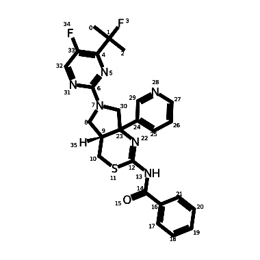 CC(C)(F)c1nc(N2C[C@H]3CSC(NC(=O)c4ccccc4)=NC3(c3cccnc3)C2)ncc1F